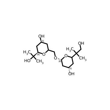 CC(C)(CO)C1C[C@H](O)C[C@H](OCC2C[C@H](O)C[C@H](C(C)(C)O)O2)O1